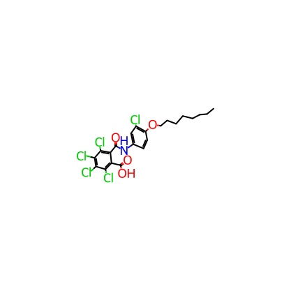 CCCCCCCCOc1ccc(NC(=O)c2c(Cl)c(Cl)c(Cl)c(Cl)c2C(=O)O)cc1Cl